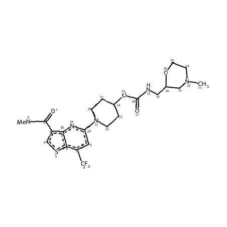 CNC(=O)c1csc2c(C(F)(F)F)cc(N3CCC(OC(=O)NCC4CN(C)CCO4)CC3)nc12